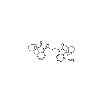 CC1(C)C2CCC1(C)C(C(=O)OCCCOC(=O)C1(c3ccccc3C#N)CC3CCC1(C)C3(C)C)(c1ccccc1C#N)C2